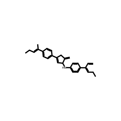 C=C/C(=C\CC)C1=C=C=C(NC2C=C(c3ccc(/C(C)=C/CC)cc3)CC2=C)C=C1